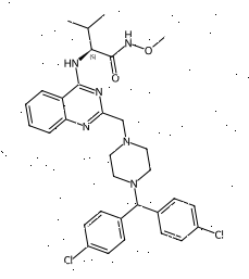 CONC(=O)[C@@H](Nc1nc(CN2CCN(C(c3ccc(Cl)cc3)c3ccc(Cl)cc3)CC2)nc2ccccc12)C(C)C